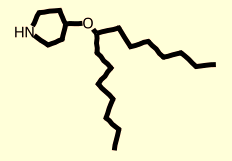 CCCCCCCC(CCCCCCC)OC1CCNCC1